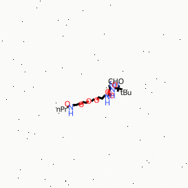 CCCC(=O)NCCCOCCOCCOCCCNC(=O)OC(CNC=O)NC(=O)C(C)(C)CC(C)(C)C